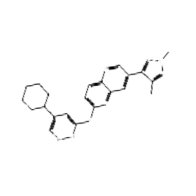 Cc1nn(C)cc1-c1cnc2ccc(NC3=CC(C4CCCCC4)=CNN3)nc2c1